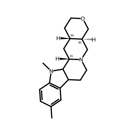 Cc1ccc2c(c1)C1CCN3C[C@@H]4COCC[C@H]4C[C@H]3C1N2C